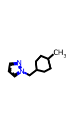 CC1CCC(Cn2cccn2)CC1